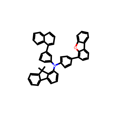 CC1(C)c2ccccc2-c2cccc(N(c3ccc(-c4cccc5c4oc4ccccc45)cc3)c3cccc(-c4cccc5ccccc45)c3)c21